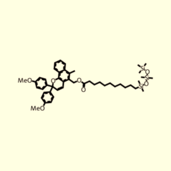 COc1ccc(C2(c3ccc(OC)cc3)C=Cc3c(COC(=O)CCCCCCCCCC[Si](C)(C)O[Si](C)(C)O[Si](C)(C)C)c(C)c4ccccc4c3O2)cc1